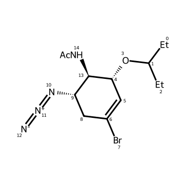 CCC(CC)O[C@@H]1C=C(Br)C[C@H](N=[N+]=[N-])[C@H]1NC(C)=O